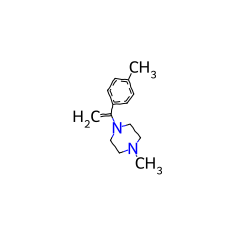 C=C(c1ccc(C)cc1)N1CCN(C)CC1